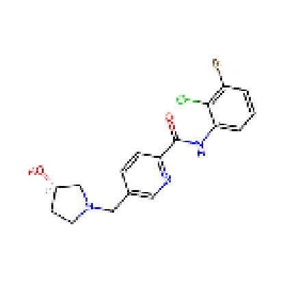 O=C(Nc1cccc(Br)c1Cl)c1ccc(CN2CC[C@H](O)C2)cn1